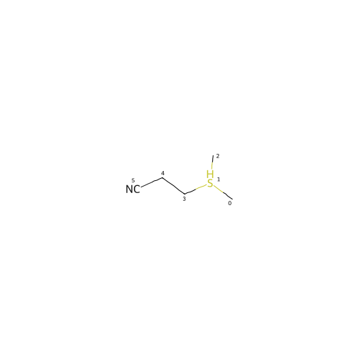 C[SH](C)CCC#N